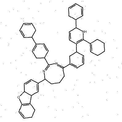 C1=CCC(C2=CCC(C3=N/C(C4=CC5C6=C(C=CCC6)OC5C=C4)CCC/C(C4=CC=CC(C5=C(C6=CCCCC6)NC(C6C=CC=CC6)C=C5)C4)=N\3)C=C2)C=C1